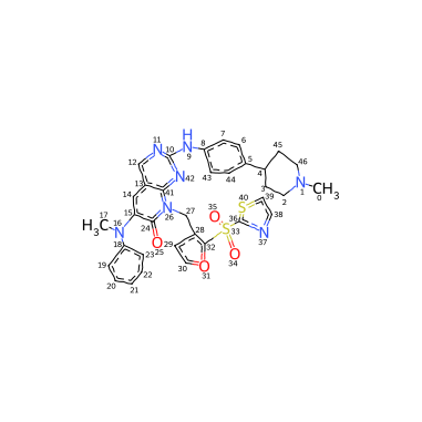 CN1CCC(c2ccc(Nc3ncc4cc(N(C)c5ccccc5)c(=O)n(Cc5ccoc5S(=O)(=O)c5nccs5)c4n3)cc2)CC1